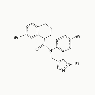 CCn1cc(CN(C(=O)C2CCCc3ccc(C(C)C)cc32)c2ccc(C(C)C)cc2)cn1